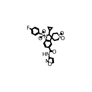 O=C(Nc1ccon1)c1ccc2c(c1)C1(CCS(=O)(=O)CC1)C(C1CC1)N2S(=O)(=O)c1ccc(F)cc1